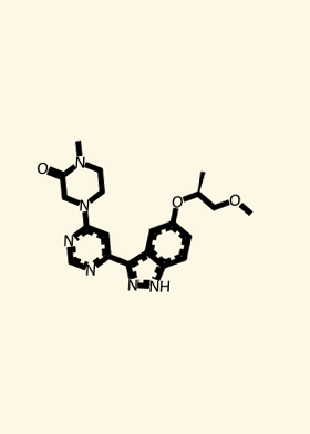 COC[C@H](C)Oc1ccc2[nH]nc(-c3cc(N4CCN(C)C(=O)C4)ncn3)c2c1